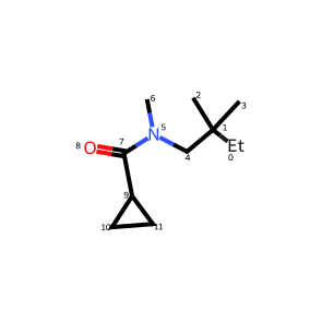 CCC(C)(C)CN(C)C(=O)C1CC1